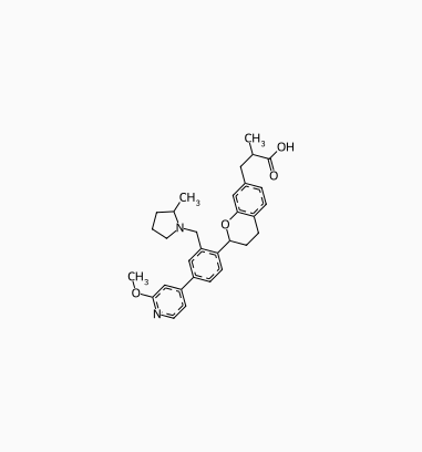 COc1cc(-c2ccc(C3CCc4ccc(CC(C)C(=O)O)cc4O3)c(CN3CCCC3C)c2)ccn1